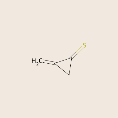 C=C1CC1=S